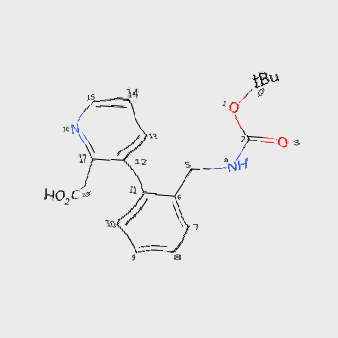 CC(C)(C)OC(=O)NCc1ccccc1-c1cccnc1C(=O)O